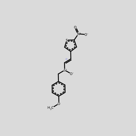 COc1ccc(C[S+]([O-])/C=C/c2csc([N+](=O)[O-])c2)cc1